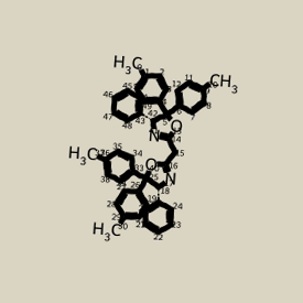 Cc1ccc(C2(c3ccc(C)cc3)OC(CC3=N[C@H](c4ccccc4)C(c4ccc(C)cc4)(c4ccc(C)cc4)O3)=N[C@@H]2c2ccccc2)cc1